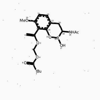 C=C(OCOC(=O)C(C)(C)C)c1c(OC)ccc2c1OB(O)C(NC(C)=O)C2